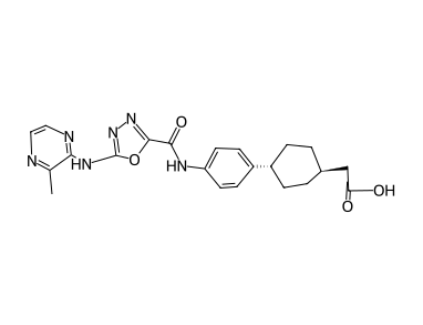 Cc1nccnc1Nc1nnc(C(=O)Nc2ccc([C@H]3CC[C@H](CC(=O)O)CC3)cc2)o1